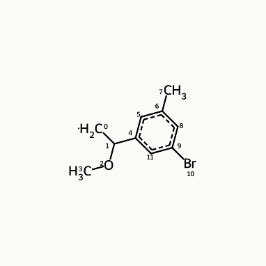 [CH2]C(OC)c1cc(C)cc(Br)c1